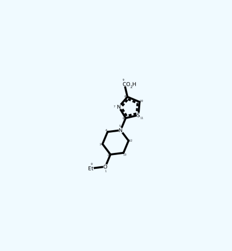 CCOC1CCN(c2nc(C(=O)O)cs2)CC1